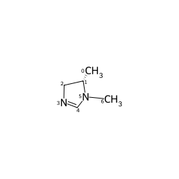 C[C@H]1CN=CN1C